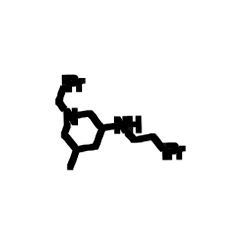 CC(C)CCNC1CC(C)CN(CC(C)C)C1